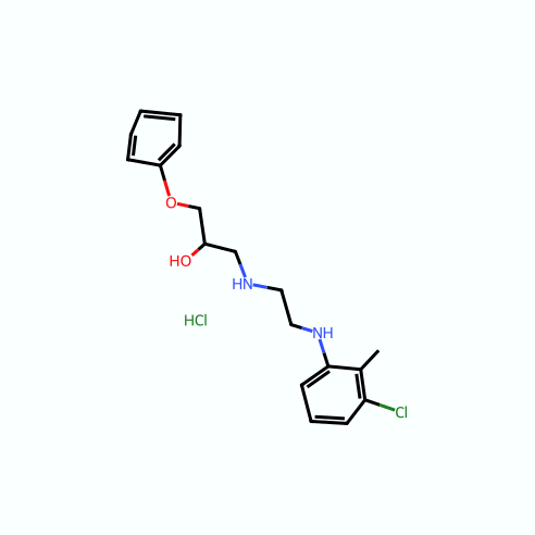 Cc1c(Cl)cccc1NCCNCC(O)COc1ccccc1.Cl